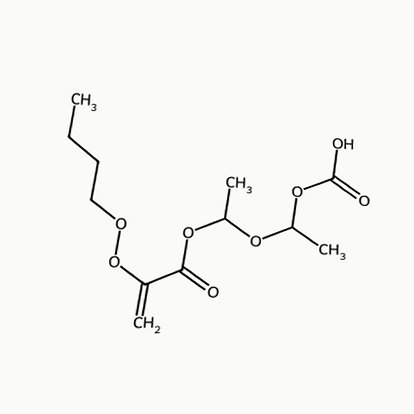 C=C(OOCCCC)C(=O)OC(C)OC(C)OC(=O)O